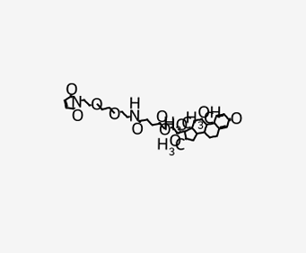 C[C@@H]1CC2C3CCC4=CC(=O)C=CC4(C)C3C(O)CC2(C)C1(O)C(=O)COC(=O)CCC(=O)NCCOCCOCCN1C(=O)C=CC1=O